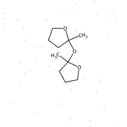 CC1(OC2(C)CCCO2)CCCO1